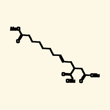 COC(=O)CCCCCC/C=C/CC(CC(=O)OCC(C)C)C(=O)OCC(C)C